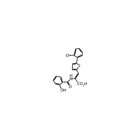 O=C(O)C(=Cc1ccc(-c2ccccc2Cl)s1)NC(=O)c1ccccc1O